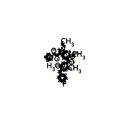 CCCn1cc(C(=O)C(=O)N2CCCC2)c2cc(C(=O)N3C[C@H](C)N(Cc4ccc(F)cc4)C[C@H]3C)c(OC)nc21